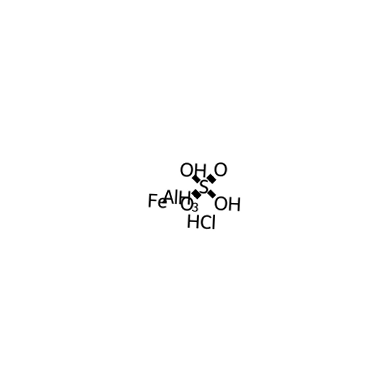 Cl.O=S(=O)(O)O.[AlH3].[Fe]